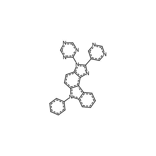 c1ccc(-n2c3ccccc3c3c4nc(-c5cncnc5)n(-c5ncncn5)c4ccc32)cc1